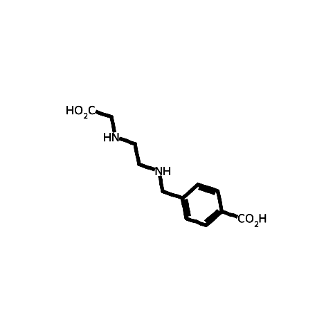 O=C(O)CNCCNCc1ccc(C(=O)O)cc1